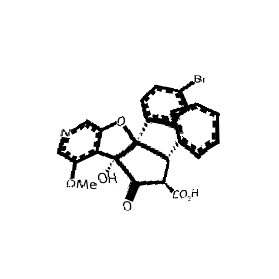 COc1cncc2c1[C@]1(O)C(=O)[C@H](C(=O)O)[C@@H](c3ccccc3)[C@]1(c1ccc(Br)cc1)O2